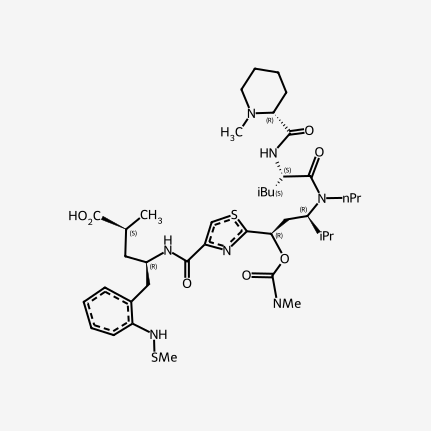 CCCN(C(=O)[C@@H](NC(=O)[C@H]1CCCCN1C)[C@@H](C)CC)[C@H](C[C@@H](OC(=O)NC)c1nc(C(=O)N[C@@H](Cc2ccccc2NSC)C[C@H](C)C(=O)O)cs1)C(C)C